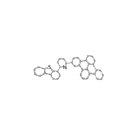 c1cc(-c2ccc3c(c2)c2cccc4c5ccccc5c5cccc3c5c42)nc(-c2cccc3c2sc2ccccc23)c1